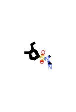 CCc1cc(S(=O)(=O)N(C)C#N)ccc1C